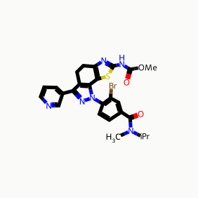 COC(=O)Nc1nc2c(s1)-c1c(c(-c3cccnc3)nn1-c1ccc(C(=O)N(C)C(C)C)cc1Br)CC2